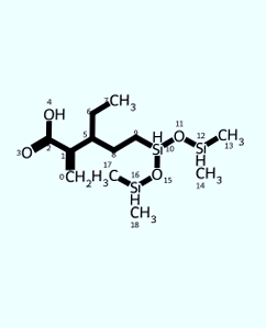 C=C(C(=O)O)C(CC)CC[SiH](O[SiH](C)C)O[SiH](C)C